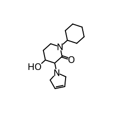 O=C1C(N2CC=CC2)C(O)CCN1C1CCCCC1